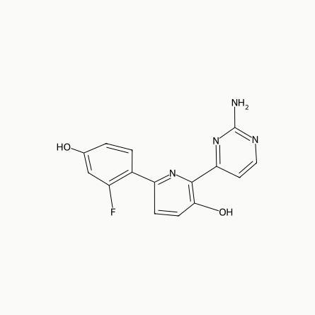 Nc1nccc(-c2nc(-c3ccc(O)cc3F)ccc2O)n1